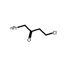 CCCCC(=O)CCCl